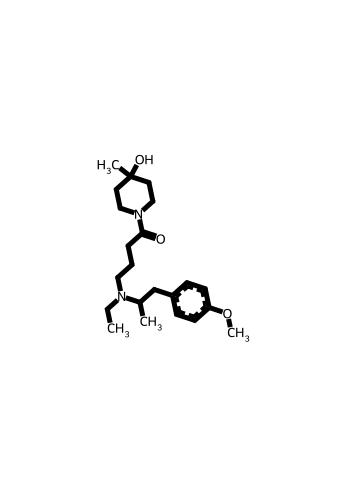 CCN(CCCC(=O)N1CCC(C)(O)CC1)C(C)Cc1ccc(OC)cc1